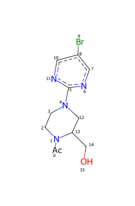 CC(=O)N1CCN(c2ncc(Br)cn2)CC1CO